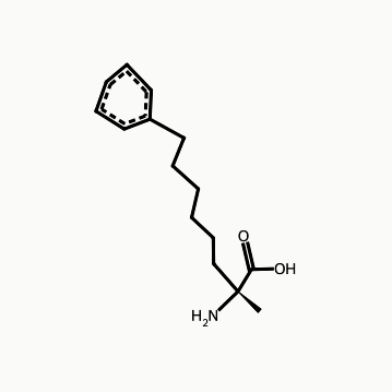 C[C@@](N)(CCCCCCc1ccccc1)C(=O)O